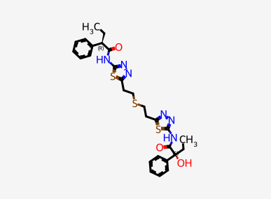 CC[C@@H](C(=O)Nc1nnc(CCSCCc2nnc(NC(=O)[C@](O)(CC)c3ccccc3)s2)s1)c1ccccc1